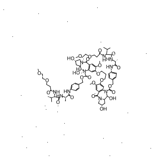 COCCOCCC(=O)N[C@@H](C(=O)N[C@H](C)C(=O)Nc1ccc(COC(=O)N2c3cc(OCCCOc4cc5c(cc4OC)C(=O)N4C[C@@H](O)C[C@H]4[C@H](O)N5C(=O)OCc4ccc(NC(=O)[C@@H](C)NC(=O)[C@H](NC(=O)CCOCCOC)C(C)C)cc4)c(OC)cc3C(=O)N3C[C@@H](O)CC3[C@@H]2O)cc1)C(C)C